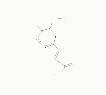 COc1cc(C=CC(C)=O)ccc1O